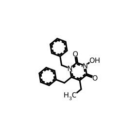 CCc1c(Cc2ccccc2)n(Cc2ccccc2)c(=O)n(O)c1=O